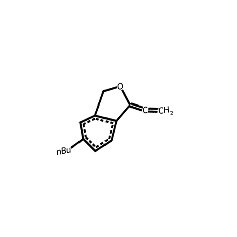 C=C=C1OCc2cc(CCCC)ccc21